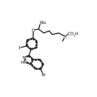 CN(CCCCC(Oc1ccc(-c2n[nH]c3cc(Br)ccc23)c(F)c1)C(C)(C)C)C(=O)O